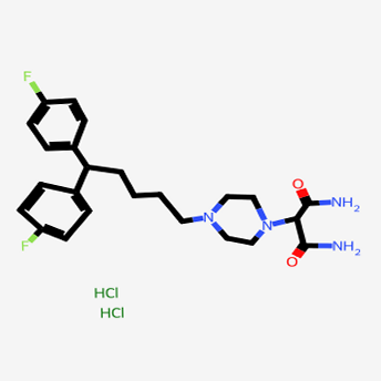 Cl.Cl.NC(=O)C(C(N)=O)N1CCN(CCCCC(c2ccc(F)cc2)c2ccc(F)cc2)CC1